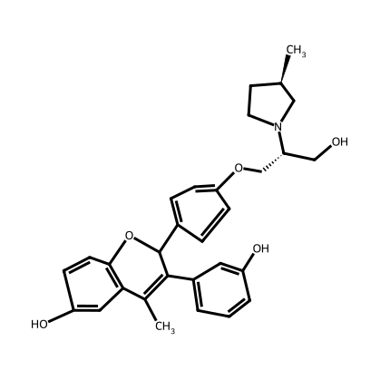 CC1=C(c2cccc(O)c2)C(c2ccc(OC[C@@H](CO)N3CC[C@@H](C)C3)cc2)Oc2ccc(O)cc21